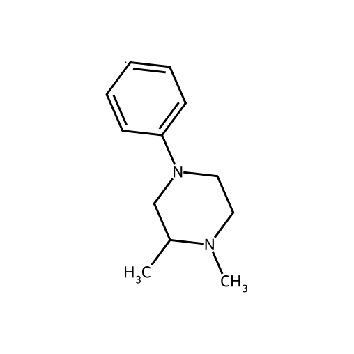 CC1CN(c2cc[c]cc2)CCN1C